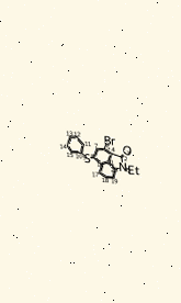 CCN1C(=O)c2c(Br)cc(Sc3ccccc3)c3cccc1c23